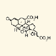 C[C@@]12C3=CC(=O)C[C@@H]1O[C@@H]1C[C@H]2[C@@H]([C@H](C(=O)O)C3)[C@@H]2CC[C@@](O)(CCC(=O)O)[C@@]12C